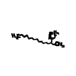 CCCCCCCCCCCCCC(CC)C(CC)=NO